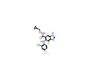 Bc1ccc(Nc2c(C(=O)NOCC3CC3)cc3[nH]cnc3c2F)c(Cl)c1